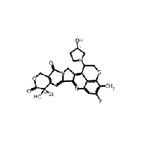 CC[C@@]1(O)C(=O)OCc2c1cc1n(c2=O)Cc2c-1nc1cc(F)c(C)c3c1c2C(N1CC[C@@H](O)C1)CS3